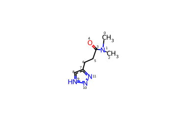 CN(C)C(=O)CCc1c[nH]nn1